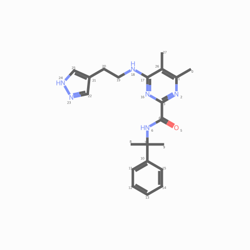 Cc1nc(C(=O)NC(C)(C)c2ccccc2)nc(NCCc2cn[nH]c2)c1C